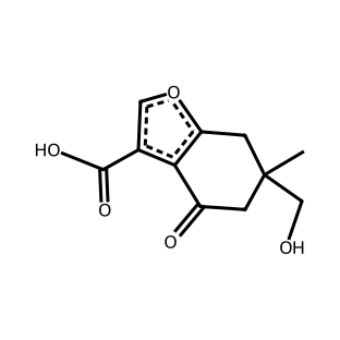 CC1(CO)CC(=O)c2c(C(=O)O)coc2C1